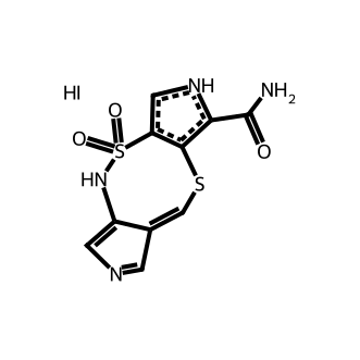 I.NC(=O)c1[nH]cc2c1SC=C1C=NC=C1NS2(=O)=O